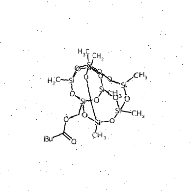 CCC(C)C(=O)OC[Si]12O[Si]3(C)O[Si]4(C)O[Si]5(C)O[Si](C)(O3)O[Si](C)(O[Si](C)(O5)O[Si](C)(O4)O1)O2